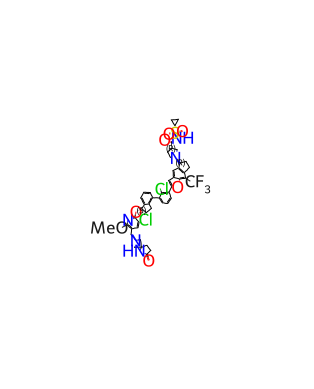 COc1nc(O[C@H]2CCc3c(-c4cccc(-c5cc6cc7c(c(C(F)(F)F)c6o5)CC[C@H]7N5CC[C@@H](C(=O)NS(=O)(=O)C6CC6)C5)c4Cl)cccc32)c(Cl)cc1CN1CC2(CCC(=O)N2)C1